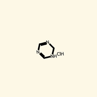 C1=NC=NCN1.Cl